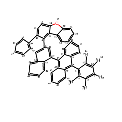 [2H]c1c([2H])c([2H])c(-c2c3ccccc3c(-c3cc(-c4c(-c5ccccc5)ccc5oc6ccccc6c45)cc4ccccc34)c3ccccc23)c([2H])c1[2H]